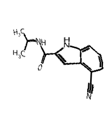 CC(C)NC(=O)c1cc2c(C#N)cccc2[nH]1